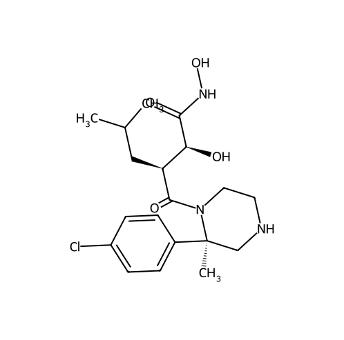 CC(C)C[C@H](C(=O)N1CCNC[C@@]1(C)c1ccc(Cl)cc1)[C@H](O)C(=O)NO